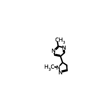 Cc1ncc(C2CC=NN2C)cn1